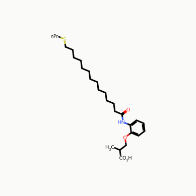 CCCSCCCCCCCCCCCCCC(=O)Nc1ccccc1OCC(C)C(=O)O